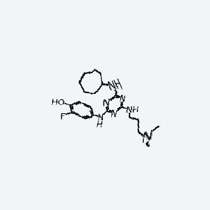 CN(C)CCCNc1nc(Nc2ccc(O)c(F)c2)nc(NC2CCCCCC2)n1